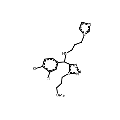 COCCCn1nnnc1C(NCCCn1ccnc1)c1ccc(Cl)c(Cl)c1